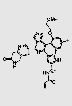 C=CC(=O)N[C@@H](C)c1cc(-c2nc(-c3cnc4c(c3)CNC(=O)C4)c3ccsc3c2-c2c(F)cc(F)cc2OCCOC)n[nH]1